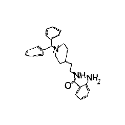 Nc1ccccc1C(=O)NCCC1CCN(C(c2ccccc2)c2ccccc2)CC1